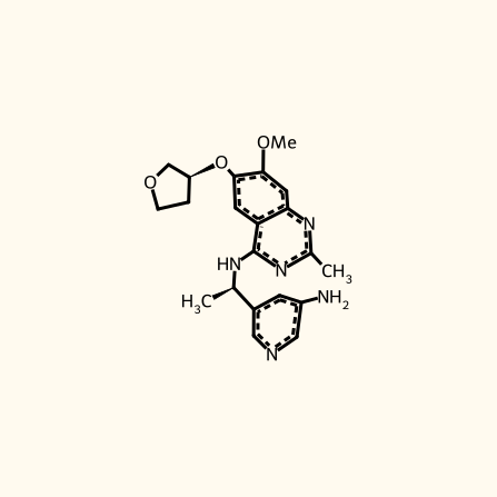 COc1cc2nc(C)nc(N[C@H](C)c3cncc(N)c3)c2cc1O[C@H]1CCOC1